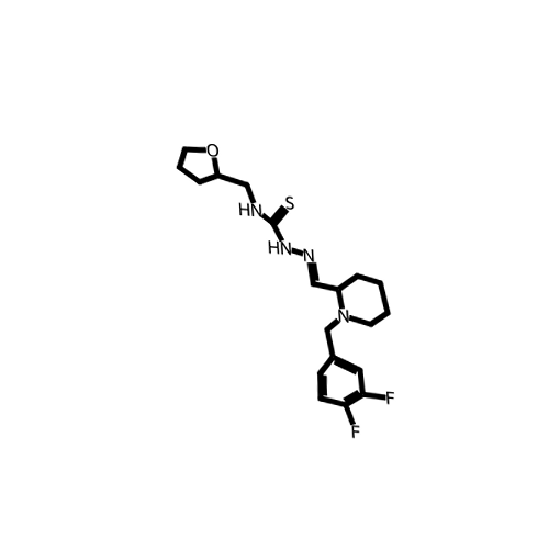 Fc1ccc(CN2CCCCC2C=NNC(=S)NCC2CCCO2)cc1F